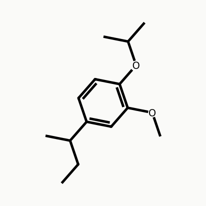 CCC(C)c1ccc(OC(C)C)c(OC)c1